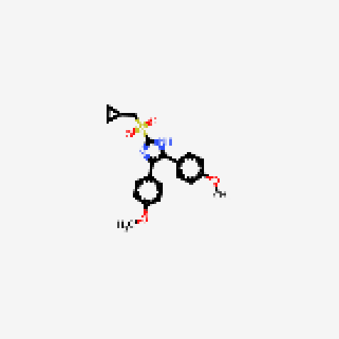 COc1ccc(-c2nc(S(=O)(=O)CC3CC3)[nH]c2-c2ccc(OC)cc2)cc1